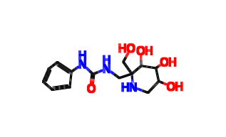 O=C(NCC1(CO)NCC(O)C(O)C1O)Nc1ccccc1